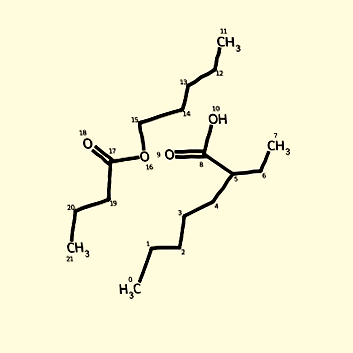 CCCCCC(CC)C(=O)O.CCCCCOC(=O)CCC